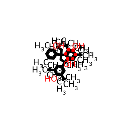 CCCC(CC(C)(c1cc(C(C)(C)C)c(O)c(C(C)(C)C)c1)c1cc(C(C)(C)C)c(O)c(C(C)(C)C)c1)(c1cc(C)cc(C)c1O)c1cc(C)cc(C)c1O